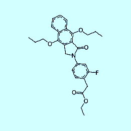 CCCOc1c2c(c(OCCC)c3ccccc13)C(=O)N(c1ccc(CC(=O)OCC)c(F)c1)C2